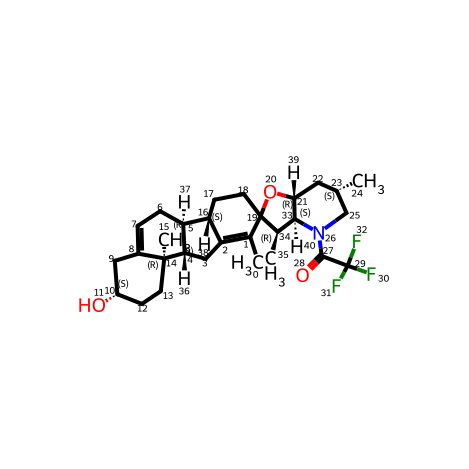 CC1=C2C[C@H]3[C@@H](CC=C4C[C@@H](O)CC[C@@]43C)[C@@H]2CCC12O[C@@H]1C[C@H](C)CN(C(=O)C(F)(F)F)[C@H]1[C@H]2C